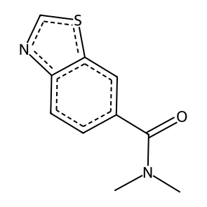 CN(C)C(=O)c1ccc2ncsc2c1